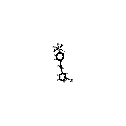 FS(F)(F)(F)(F)c1ccc(C#Cc2cccc(Br)c2)cc1